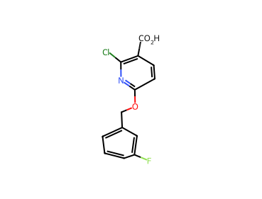 O=C(O)c1ccc(OCc2cccc(F)c2)nc1Cl